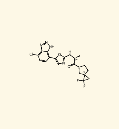 C[C@H](Nc1nnc(-c2ccc(Cl)c3nn[nH]c23)o1)C(=O)N1CC[C@@]2(C1)CC2(F)F